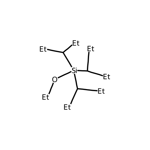 CCO[Si](C(CC)CC)(C(CC)CC)C(CC)CC